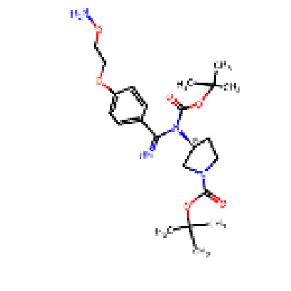 CC(C)(C)OC(=O)N1CC[C@H](N(C(=N)c2ccc(OCCON)cc2)C(=O)OC(C)(C)C)C1